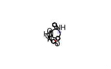 COc1ccc(N(C)C(=O)C2Cc3cccc(c3)C/C=C\c3[nH]c4ccccc4c3CC(=O)N2)cc1